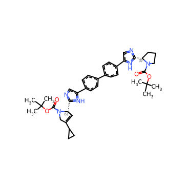 CC(C)(C)OC(=O)N1CC(C2CC2)=C[C@H]1c1ncc(-c2ccc(-c3ccc(-c4cnc([C@@H]5CCCN5C(=O)OC(C)(C)C)[nH]4)cc3)cc2)[nH]1